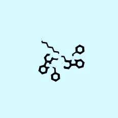 NCCCCCCN(Cc1nccc2c3ccccc3n(Cc3ccccc3)c12)Cc1nccc2c3ccccc3n(Cc3ccccc3)c12